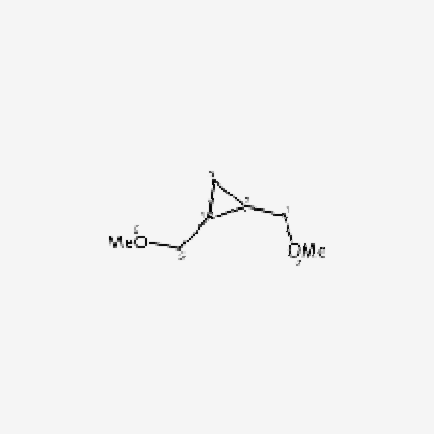 COC[C]1CC1COC